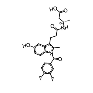 Cc1c(CCC(=O)N[C@@H](C)CC(=O)O)c2cc(O)ccc2n1C(=O)c1ccc(F)c(F)c1